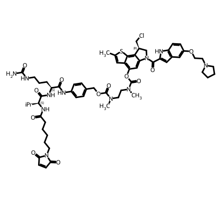 Cc1cc2c(OC(=O)N(C)CCN(C)C(=O)OCc3ccc(NC(=O)[C@H](CCCNC(N)=O)NC(=O)[C@@H](NC(=O)CCCCCN4C(=O)C=CC4=O)C(C)C)cc3)cc3c(c2s1)[C@@H](CCl)CN3C(=O)c1cc2cc(OCCN3CCCC3)ccc2[nH]1